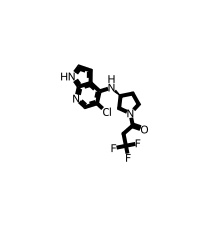 O=C(CC(F)(F)F)N1CC[C@H](Nc2c(Cl)cnc3[nH]ccc23)C1